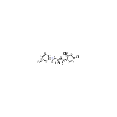 Clc1ccc(-c2c[nH]c(/C=C/c3cccc(Br)c3)n2)c(Cl)c1